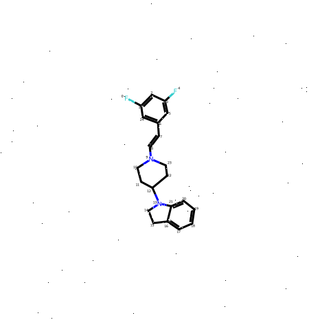 Fc1cc(F)cc(C=CN2CCC(N3CCc4ccccc43)CC2)c1